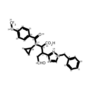 O=CCC(c1ncn(Cc2ccccc2)n1)C(C(=O)O)N(C(=O)c1ccc(OC(F)(F)F)cc1)C1CC1